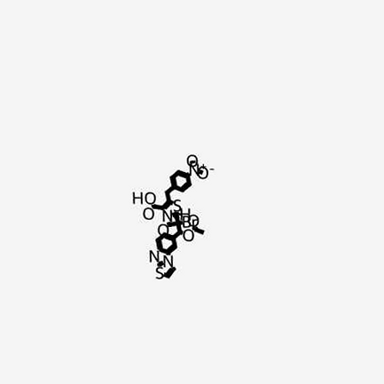 CC(=O)OC(c1ccc2nc3sccn3c2c1)C1(Br)C(=O)N2C(C(=O)O)=C(Cc3ccc([N+](=O)[O-])cc3)S[C@@H]21